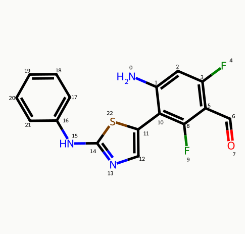 Nc1cc(F)c(C=O)c(F)c1-c1cnc(Nc2ccccc2)s1